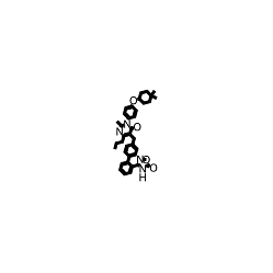 CCCc1nc(C)n(-c2ccc(OC3CCC(C)(C)CC3)cc2)c(=O)c1Cc1ccc(-c2ccccc2-c2noc(=O)[nH]2)cc1